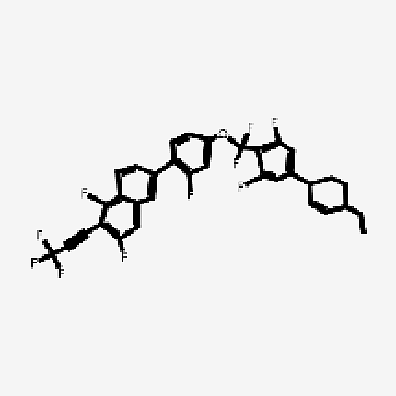 CCC1C=CC(c2cc(F)c(C(F)(F)Oc3ccc(-c4ccc5c(F)c(C#CC(F)(F)F)c(F)cc5c4)c(F)c3)c(F)c2)CC1